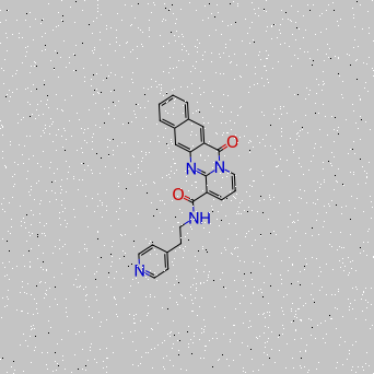 O=C(NCCc1ccncc1)c1cccn2c(=O)c3cc4ccccc4cc3nc12